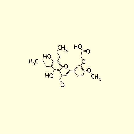 CCCc1c(O)c(CCC)c2c(c1O)C(C=O)C=C(c1ccc(OC)c(OCC(=O)O)c1)O2